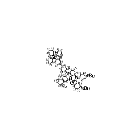 Cc1cc2c3c(c1)N(c1ccc(C(C)(C)C)cc1)c1c(oc4ccc(C(C)(C)C)cc14)B3c1cc3c(cc1N2c1c(C)cc(-c2ccc([Si](c4ccccc4)(c4ccccc4)c4ccccc4)cc2)cc1C)C(C)(C)CCC3(C)C